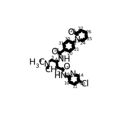 CN(C)CC(CC(=O)Nc1ccc(Cl)cn1)NC(=O)c1ccc(-n2ccccc2=O)cc1